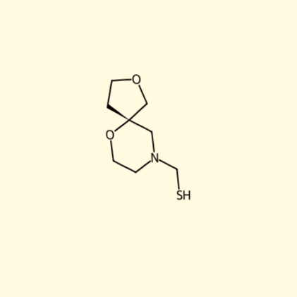 SCN1CCO[C@@]2(CCOC2)C1